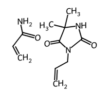 C=CC(N)=O.C=CCN1C(=O)NC(C)(C)C1=O